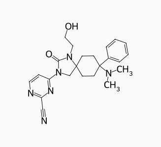 CN(C)C1(c2ccccc2)CCC2(CC1)CN(c1ccnc(C#N)n1)C(=O)N2CCO